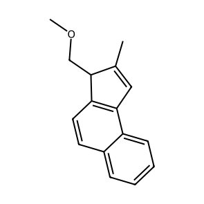 COCC1C(C)=Cc2c1ccc1ccccc21